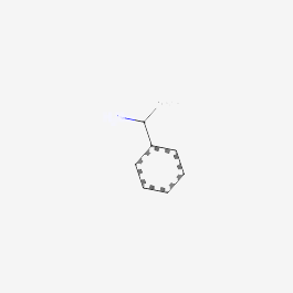 CNC(N)c1c[c]ccc1